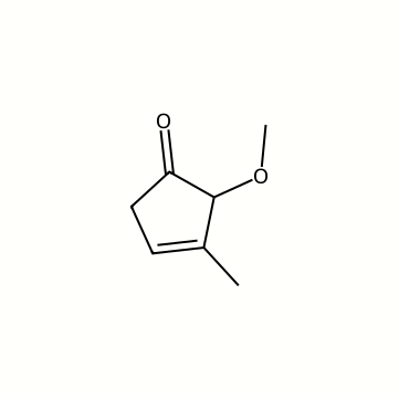 COC1C(=O)CC=C1C